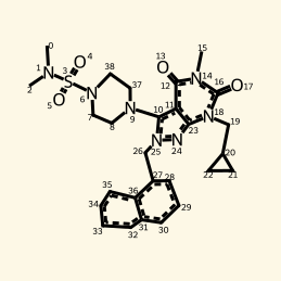 CN(C)S(=O)(=O)N1CCN(c2c3c(=O)n(C)c(=O)n(CC4CC4)c3nn2Cc2cccc3ccccc23)CC1